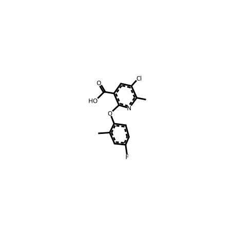 Cc1cc(F)ccc1Oc1nc(C)c(Cl)cc1C(=O)O